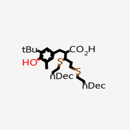 CCCCCCCCCCCCSCCC(SCCCCCCCCCCCC)C(Cc1cc(C)c(O)c(C(C)(C)C)c1)C(=O)O